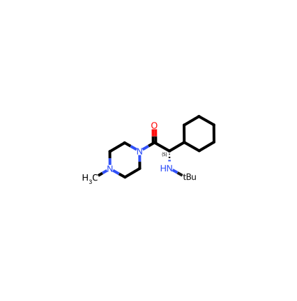 CN1CCN(C(=O)[C@@H](NC(C)(C)C)C2CCCCC2)CC1